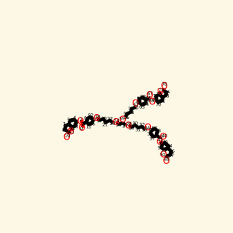 O=C(Oc1ccc2ccc(=O)oc2c1)c1ccc(OCCCCCOCC(COCCCCCOc2ccc(C(=O)Oc3ccc4ccc(=O)oc4c3)cc2)OCCCCCOc2ccc(C(=O)Oc3ccc4ccc(=O)oc4c3)cc2)cc1